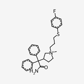 C[N+]1(CCCSc2ccc(F)cc2)CCC(C(C(N)=O)(c2ccccc2)c2ccccc2)C1